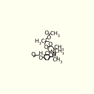 CC(=O)OCC1(C)COC2(CC(C)(C)N(OC(C)c3ccc(OCC4CO4)cc3)C(C)(C)C2)OC1